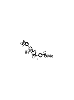 COC(=O)c1ccc(Cc2cnc(N3CCN(c4ccc(F)c([S+](C)[O-])c4)CC3C(C)C)nc2C(F)(F)F)cc1